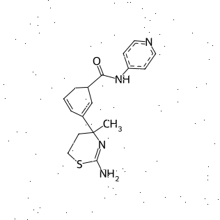 CC1(C2=CC(C(=O)Nc3ccncc3)CC=C2)CCSC(N)=N1